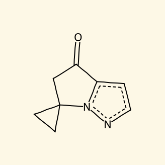 O=C1CC2(CC2)n2nccc21